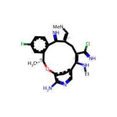 CCN/C1=C(\C(=N)Cl)C/C(=C/NC)C(=N)c2ccc(F)cc2[C@@H](C)Oc2cc1cnc2N